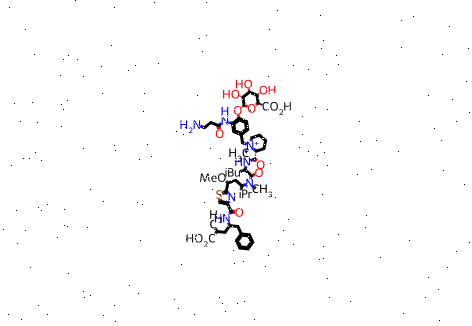 CCC(C)C(NC(=O)[C@H]1CCCC[N+]1(C)Cc1ccc(O[C@@H]2O[C@H](C(=O)O)[C@@H](O)[C@H](O)[C@H]2O)c(NC(=O)CCN)c1)C(=O)N(C)C(CC(OC)c1nc(C(=O)NC(Cc2ccccc2)CC(C)C(=O)O)cs1)C(C)C